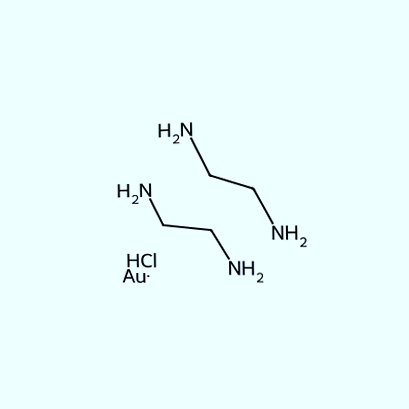 Cl.NCCN.NCCN.[Au]